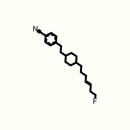 N#Cc1ccc(CCC2CCC(CCCC=CCCF)CC2)cc1